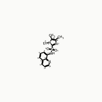 CCn1c(S(=O)(=O)Nc2cccc3cccnc23)nc(C)c1C